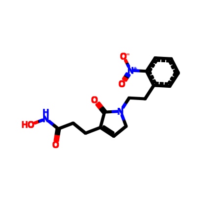 O=C(CCC1=CCN(CCc2ccccc2[N+](=O)[O-])C1=O)NO